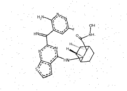 N=C(c1nc(N[C@H]2C3CCC(CC3)[C@@H]2C(=O)NO)c2ccsc2n1)c1cc(F)cnc1N